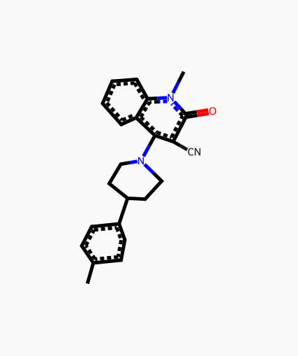 Cc1ccc(C2CCN(c3c(C#N)c(=O)n(C)c4ccccc34)CC2)cc1